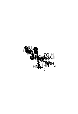 CN(CC(=O)N[C@H](CC(=O)O)C(=O)N1CCCC[C@H]1C(=O)N[C@@H](Cc1ccc2ccccc2c1)C(=O)N[C@@H](CCCNC(=N)N)C(=O)N[C@@H](CCCNC(=N)N)C(=O)N[C@H](CC(=O)O)C(=O)O)C(=O)[C@@H]1CCCN1